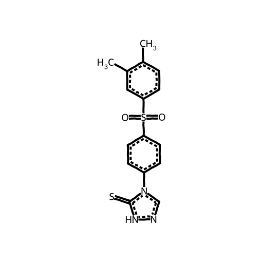 Cc1ccc(S(=O)(=O)c2ccc(-n3cn[nH]c3=S)cc2)cc1C